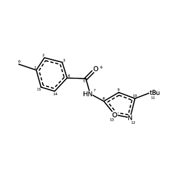 Cc1ccc(C(=O)Nc2cc(C(C)(C)C)no2)cc1